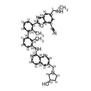 CNCc1cc(C#N)c2oc(-c3cccc(-c4cccc(Nc5nccc6cc(CN7CC[C@@H](O)C7)cnc56)c4C)c3C)nc2c1